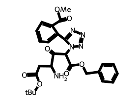 COC(=O)c1ccccc1-c1nnnn1C(C(=O)OCc1ccccc1)C(=O)C(N)CC(=O)OC(C)(C)C